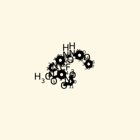 CN(C(=O)c1cc(N2C(=O)CCC2=O)cc(C(F)(F)F)c1)C1CCN(c2ccc(NC(=O)Nc3ccc(OC4CCCC4)cc3)cc2)C1